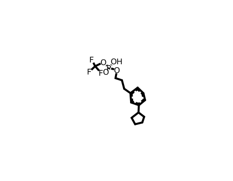 O=P(O)(OCCCc1cccc(C2CCCC2)c1)OC(F)(F)F